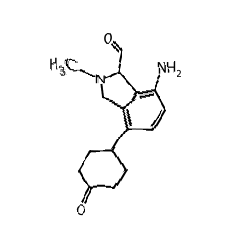 CN1Cc2c(C3CCC(=O)CC3)ccc(N)c2C1C=O